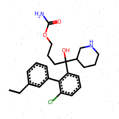 CCc1cccc(-c2c(Cl)cccc2C(O)(CCCOC(N)=O)C2CCCNC2)c1